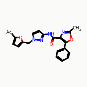 CC(=O)c1ccc(Cn2ccc(NC(=O)c3nc(C)oc3-c3ccccc3)n2)o1